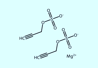 C#CCOS(=O)(=O)[O-].C#CCOS(=O)(=O)[O-].[Mg+2]